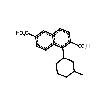 CC1CCCC(c2c(C(=O)O)ccc3cc(C(=O)O)ccc23)C1